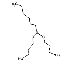 CCCCCCN(OCCCO)OCCCO